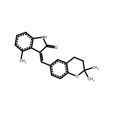 Cc1cccc2c1C(=Cc1ccc3c(c1)CCC(C)(C)O3)C(=O)N2